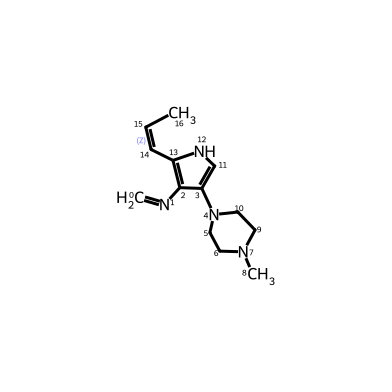 C=Nc1c(N2CCN(C)CC2)c[nH]c1/C=C\C